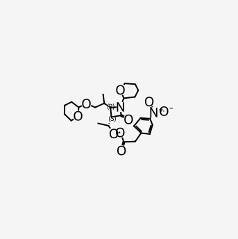 CC(OOC(=O)Cc1ccc([N+](=O)[O-])cc1)[C@H]1C(=O)N(C2CCCCO2)[C@@H]1C(C)COC1CCCCO1